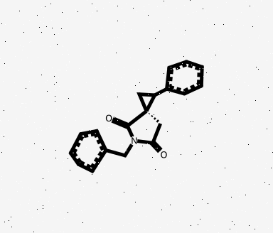 O=C1C[C@@]2(CC2c2ccccc2)C(=O)N1Cc1ccccc1